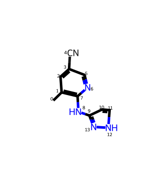 Cc1cc(C#N)cnc1Nc1cc[nH]n1